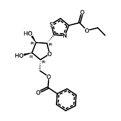 CCOC(=O)c1csc([C@@H]2O[C@H](COC(=O)c3ccccc3)[C@@H](O)[C@H]2O)n1